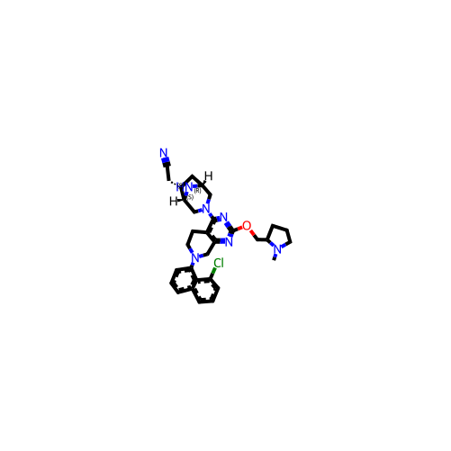 CN1CCCC1COc1nc2c(c(N3C[C@H]4C[C@@H](CC#N)[C@@H](C3)N4)n1)CCN(c1cccc3cccc(Cl)c13)C2